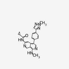 CNc1ncc(-c2ccc(-c3cnn(C)n3)cc2)c2cc(NC(=O)C3CC3)ncc12